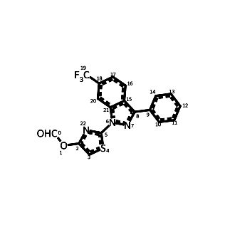 O=COc1csc(-n2nc(-c3ccccc3)c3ccc(C(F)(F)F)cc32)n1